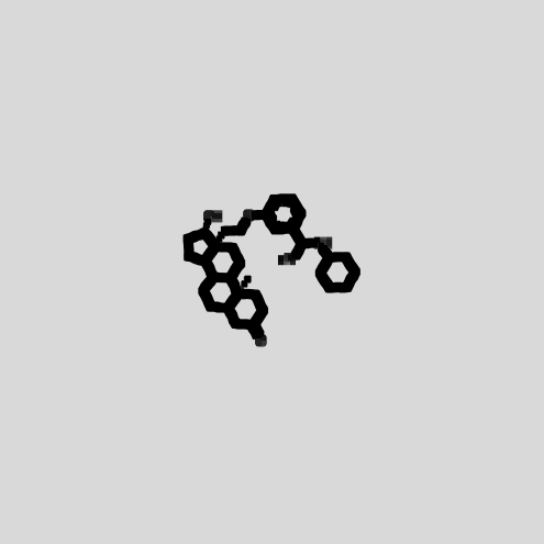 CCCC(NC1CCCCC1)c1cccc(OCC[C@]23CCC4C(CCC5CC(=O)CC[C@@]54C)C2CC[C@@H]3O)c1